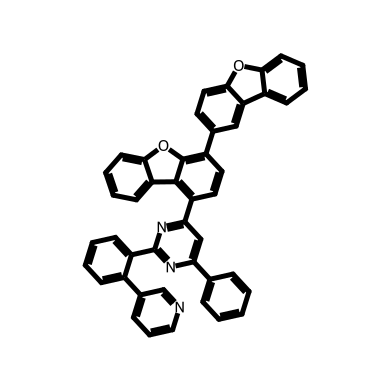 c1ccc(-c2cc(-c3ccc(-c4ccc5oc6ccccc6c5c4)c4oc5ccccc5c34)nc(-c3ccccc3-c3cccnc3)n2)cc1